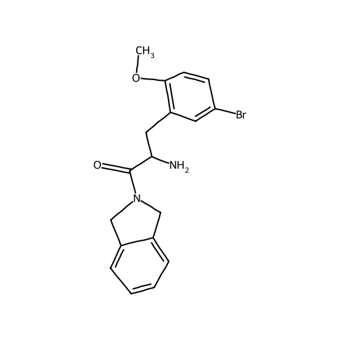 COc1ccc(Br)cc1CC(N)C(=O)N1Cc2ccccc2C1